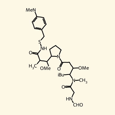 CCC(C)C(C(CC(=O)N1CCCC1C(OC)C(C)C(=O)NSCc1ccc(NC)cc1)OC)N(C)C(=O)CNC=O